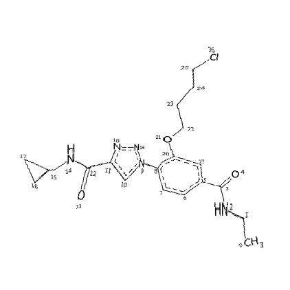 CCNC(=O)c1ccc(-n2cc(C(=O)NC3CC3)nn2)c(OCCCCCl)c1